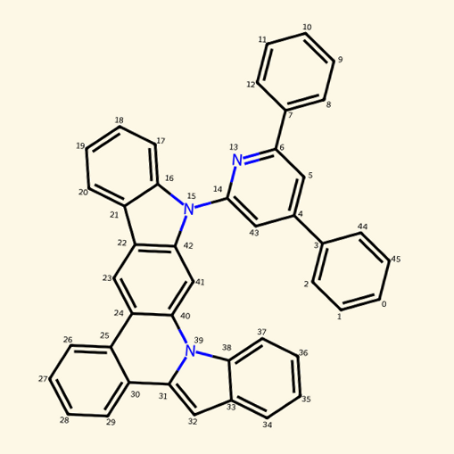 c1ccc(-c2cc(-c3ccccc3)nc(-n3c4ccccc4c4cc5c6ccccc6c6cc7ccccc7n6c5cc43)c2)cc1